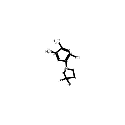 Cc1cc(Cl)c(N2CCC(F)(F)C2)cc1N